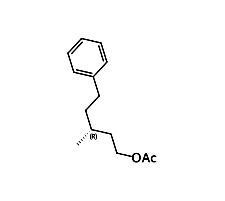 CC(=O)OCC[C@H](C)CCc1ccccc1